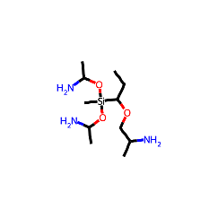 CCC(OCC(C)N)[Si](C)(OC(C)N)OC(C)N